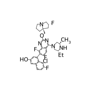 CC[C@@H]1CN(c2nc(OC[C@@]34CCCN3C[C@H](F)C4)nc3c(F)c(-c4cc(O)cc5ccc(F)c(Cl)c45)c(F)cc23)C[C@@H](C)N1